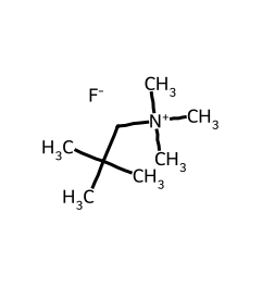 CC(C)(C)C[N+](C)(C)C.[F-]